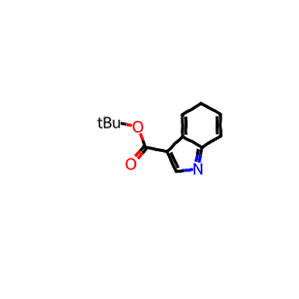 CC(C)(C)OC(=O)C1=CN=C2C=CCC=C12